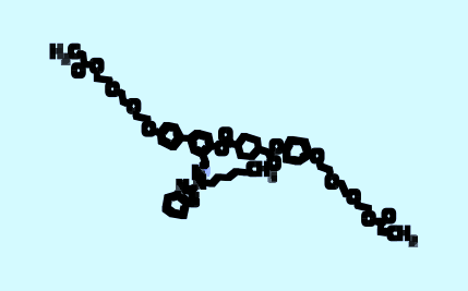 C=CC(=O)OCCOCCOCCOc1ccc(OC(=O)C2CCC(C(=O)Oc3ccc(-c4ccc(OCCOCCOCCOC(=O)C=C)cc4)cc3/C=N/N(CCCCCC)c3nc4ccccc4s3)CC2)cc1